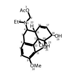 CCN(COC(C)=O)C1Cc2ccc(OC)c3c2[C@]2(C)[C@H]1C=C[C@H](O)[C@@H]2O3